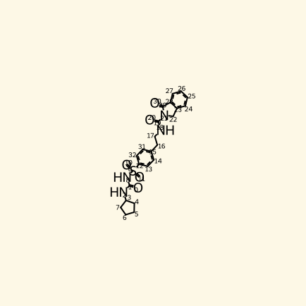 O=C(NC1CCCC1)NS(=O)(=O)c1ccc(CCNC(=O)N2Cc3ccccc3C2=O)cc1